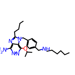 CCCCCCNCc1ccc(Cn2c(CCCC)nc3c(N)nnc(OC(C)C)c32)cc1